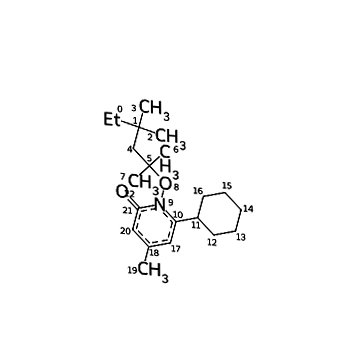 CCC(C)(C)CC(C)(C)On1c(C2CCCCC2)cc(C)cc1=O